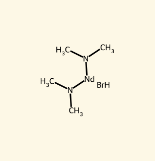 Br.C[N](C)[Nd][N](C)C